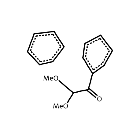 COC(OC)C(=O)c1ccccc1.c1ccccc1